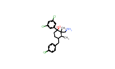 CC1C(Cc2ccc(Cl)cc2)CCC(O)(c2cc(Cl)cc(Cl)c2)C1(C)CN